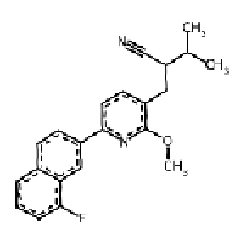 COc1nc(-c2ccc3cccc(F)c3c2)ccc1CC(C#N)C(C)C